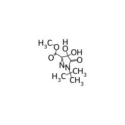 COC(=O)C1=NN(C(C)(C)C)C(=O)C1(O)O